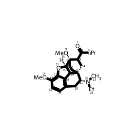 CCCC(=O)C1C[C@@]23CC[C@@]1(OC)[C@@H]1Oc4c(OC)ccc(c4C12)C[C@H]3N(C)CC